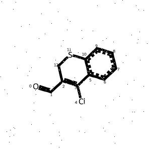 O=CC1=C(Cl)c2ccccc2SC1